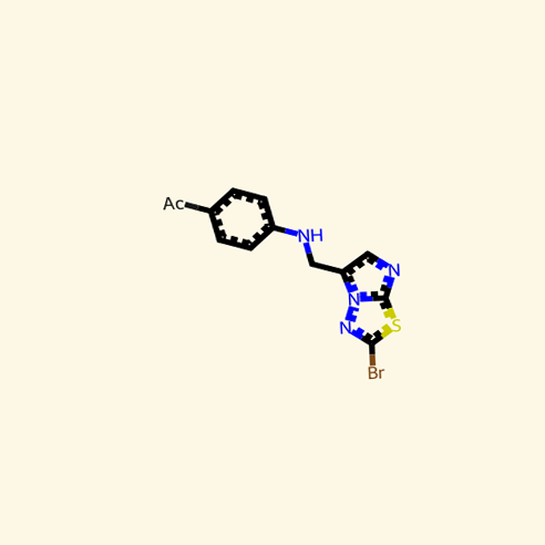 CC(=O)c1ccc(NCc2cnc3sc(Br)nn23)cc1